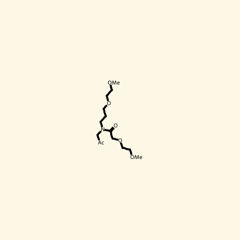 COCCOCCCN(CC(C)=O)C(=O)COCCOC